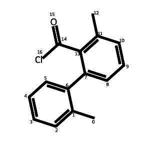 Cc1ccccc1-c1cccc(C)c1C(=O)Cl